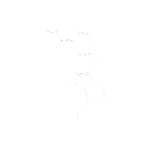 CNC(=O)c1cccc(Cn2nc(C)c3c(OC)cccc32)c1